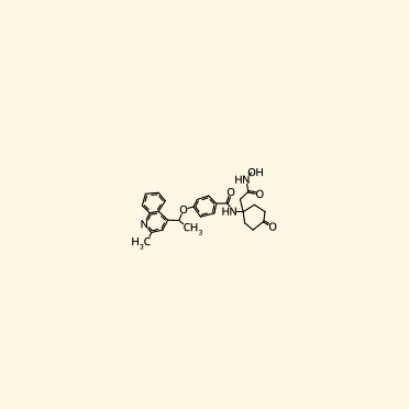 Cc1cc(C(C)Oc2ccc(C(=O)NC3(CC(=O)NO)CCC(=O)CC3)cc2)c2ccccc2n1